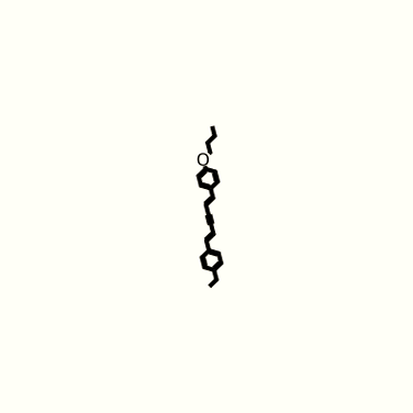 CCCCOc1ccc(C=CC#CC=Cc2ccc(CC)cc2)cc1